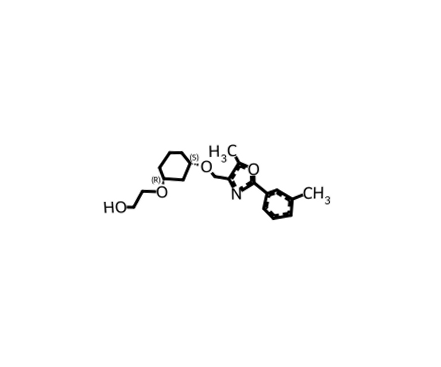 Cc1cccc(-c2nc(CO[C@H]3CCC[C@@H](OCCO)C3)c(C)o2)c1